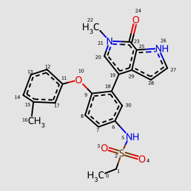 CCS(=O)(=O)Nc1ccc(Oc2cccc(C)c2)c(-c2cn(C)c(=O)c3[nH]ccc23)c1